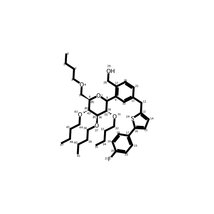 CCCCOC[C@H]1OC(c2cc(Cc3ccc(-c4ccc(F)cc4)s3)ccc2CO)[C@H](OCCCC)[C@@H](OCCCC)[C@@H]1OCCCC